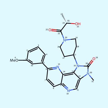 COc1cccc(-c2ccc3ncc4c(c3n2)n(C2CCN(C(=O)[C@H](C)O)CC2)c(=O)n4C)c1